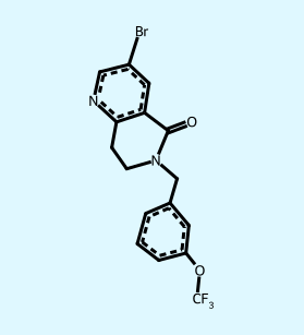 O=C1c2cc(Br)cnc2CCN1Cc1cccc(OC(F)(F)F)c1